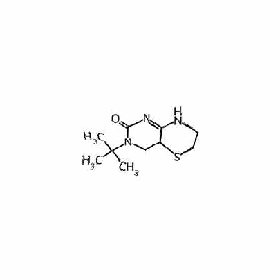 CC(C)(C)N1CC2SCCNC2=NC1=O